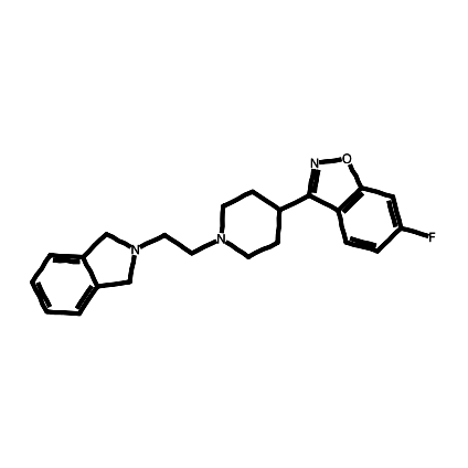 Fc1ccc2c(C3CCN(CCN4Cc5ccccc5C4)CC3)noc2c1